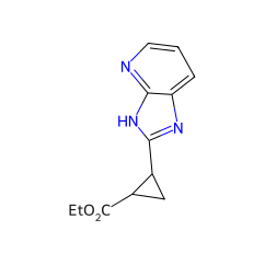 CCOC(=O)C1CC1c1nc2cccnc2[nH]1